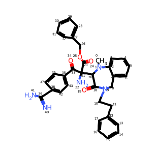 CN1c2ccccc2CN(CCc2ccccc2)C(=O)C1C(N)(C(=O)OCc1ccccc1)C(=O)c1ccc(C(=N)N)cc1